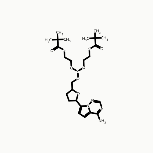 CC(C)(C)C(=O)SCCOP(OCCSC(=O)C(C)(C)C)OCC1CCC(c2ccc3c(N)ncnn23)O1